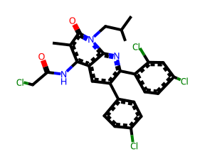 Cc1c(NC(=O)CCl)c2cc(-c3ccc(Cl)cc3)c(-c3ccc(Cl)cc3Cl)nc2n(CC(C)C)c1=O